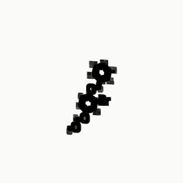 COCOc1ccc(OCc2ccccc2)c(Br)c1